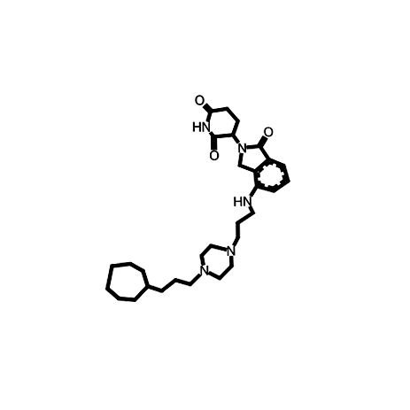 O=C1CCC(N2Cc3c(NCCCN4CCN(CCCC5CCCCCC5)CC4)cccc3C2=O)C(=O)N1